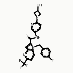 O=C(Nc1ccc(N2CC(O)C2)nc1)c1cc2nc(C(F)(F)F)ccc2n1Cc1ccc(F)cc1